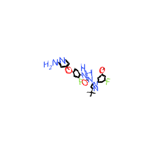 COc1cc(F)cc(-n2nc(C(C)(C)C)cc2NC(=O)Nc2ccc(Oc3ccnc(N)c3)cc2F)c1